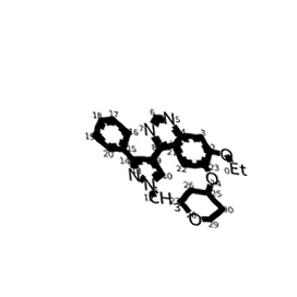 CCOc1cc2ncnc(-c3cn(C)nc3-c3ccccc3)c2cc1OC1CCOCC1